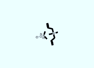 C=CC[N+](C)(C)CC=C.CNC.Cl.[Cl-]